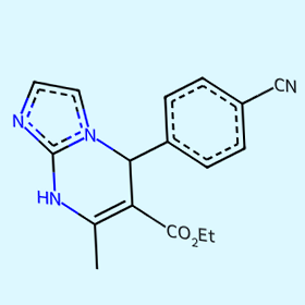 CCOC(=O)C1=C(C)Nc2nccn2C1c1ccc(C#N)cc1